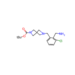 CC(C)(C)OC(=O)N1CC2(CN(Cc3cccc(Cl)c3CN)C2)C1